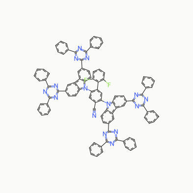 N#Cc1cc(-n2c3ccc(-c4nc(-c5ccccc5)nc(-c5ccccc5)n4)cc3c3cc(-c4nc(-c5ccccc5)nc(-c5ccccc5)n4)ccc32)c(-c2c(F)cccc2F)cc1-n1c2ccc(-c3nc(-c4ccccc4)nc(-c4ccccc4)n3)cc2c2cc(-c3nc(-c4ccccc4)nc(-c4ccccc4)n3)ccc21